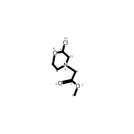 COC(=O)CN1CCOC(Cl)C1